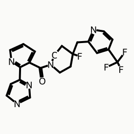 O=C(c1cccnc1-c1ccncn1)N1CCC(F)(Cc2cc(C(F)(F)F)ccn2)CC1